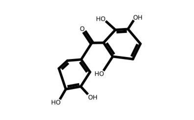 O=C(c1ccc(O)c(O)c1)c1c(O)ccc(O)c1O